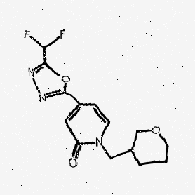 O=c1cc(-c2nnc(C(F)F)o2)ccn1CC1CCCOC1